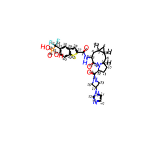 O=C(N[C@H]1C[C@H]2C[C@H]2C[C@H]2CC[C@@H](C(=O)N3CC(n4ccnc4)C3)N2C1=O)c1cc2cc(C(F)(F)P(=O)(O)O)ccc2s1